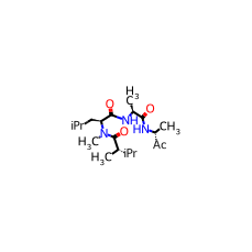 CC(=O)[C@@H](C)NC(=O)[C@H](C)NC(=O)[C@H](CC(C)C)N(C)C(=O)[C@@H](C)C(C)C